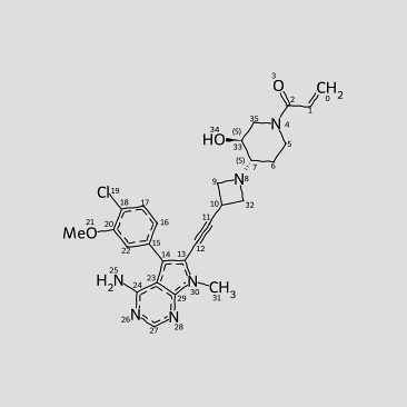 C=CC(=O)N1CC[C@H](N2CC(C#Cc3c(-c4ccc(Cl)c(OC)c4)c4c(N)ncnc4n3C)C2)[C@@H](O)C1